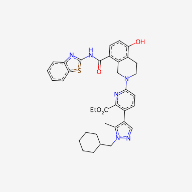 CCOC(=O)c1nc(N2CCc3c(O)ccc(C(=O)Nc4nc5ccccc5s4)c3C2)ccc1-c1cnn(CC2CCCCC2)c1C